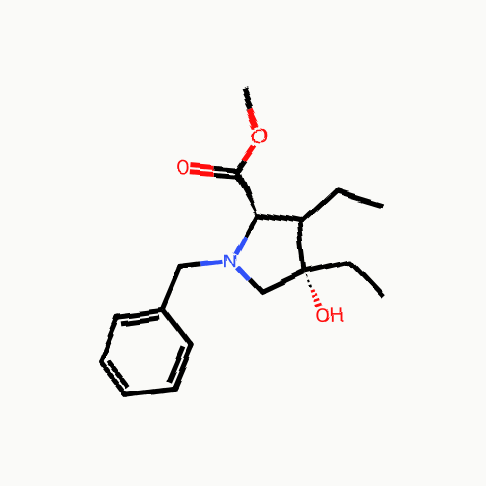 CCC1[C@H](C(=O)OC)N(Cc2ccccc2)C[C@]1(O)CC